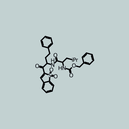 CC(C)CC(NC(=O)OCc1ccccc1)C(=O)NC(CCc1ccccc1)C(=O)C1=Cc2ccccc2S1(=O)=O